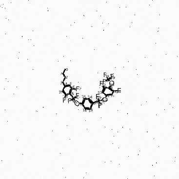 CCCCc1cc(F)c(C(F)(F)Oc2ccc(C(F)(F)Oc3cc(F)c(OC(F)(F)F)c(F)c3)cc2)c(F)c1